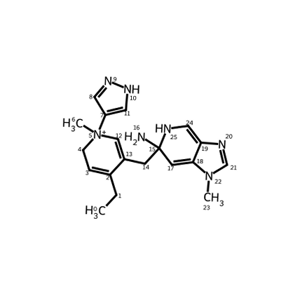 CCC1=CC[N+](C)(c2cn[nH]c2)C=C1CC1(N)C=c2c(ncn2C)=CN1